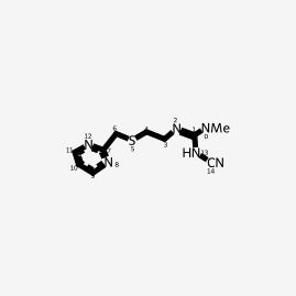 CNC(=NCCSCc1ncccn1)NC#N